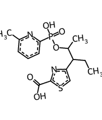 CCC(c1csc(C(=O)O)n1)C(C)OP(=O)(O)c1cccc(C)n1